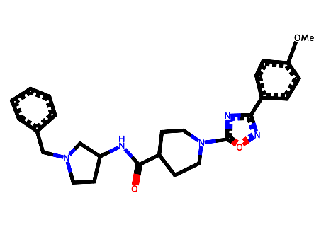 COc1ccc(-c2noc(N3CCC(C(=O)NC4CCN(Cc5ccccc5)C4)CC3)n2)cc1